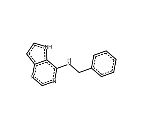 c1ccc(CNc2ncnc3cc[nH]c23)cc1